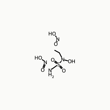 CCN(O)S(N)(=O)=O.O=NO.O=NO